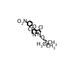 C[Si](C)(C)CCOCn1cc(Cl)c2c(Oc3ccc([N+](=O)[O-])cc3C(F)(F)F)ccnc21